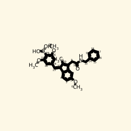 COc1ccc2c(c1)C(CC(=O)NCc1ccccc1)=C(C)C2=Cc1cc(OC)c(B(O)O)c(OC)c1